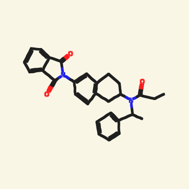 CCC(=O)N(C1CCc2cc(N3C(=O)c4ccccc4C3=O)ccc2C1)C(C)c1ccccc1